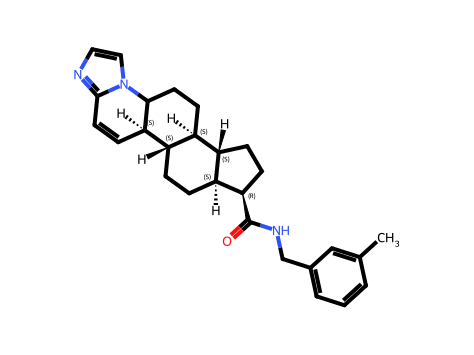 Cc1cccc(CNC(=O)[C@@H]2CC[C@H]3[C@@H]4CCC5[C@H](C=Cc6nccn65)[C@H]4CC[C@@H]32)c1